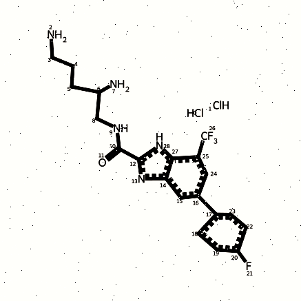 Cl.Cl.NCCCC(N)CNC(=O)c1nc2cc(-c3ccc(F)cc3)cc(C(F)(F)F)c2[nH]1